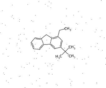 CCc1cc(C(C)(C)C)cc2c1Cc1ccccc1-2